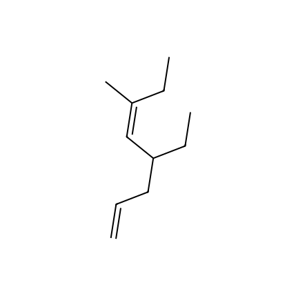 C=CCC(C=C(C)CC)CC